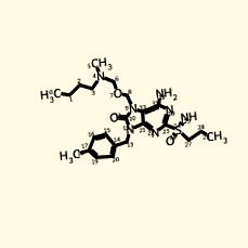 CCCCN(C)COCn1c(=O)n(Cc2ccc(C)cc2)c2nc(S(=N)(=O)CCC)nc(N)c21